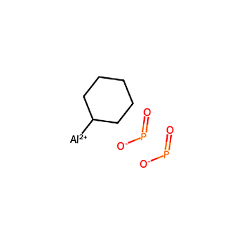 O=P[O-].O=P[O-].[Al+2][CH]1CCCCC1